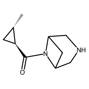 C[C@H]1C[C@@H]1C(=O)N1C2CNCC1C2